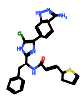 Nc1n[nH]c2cc(-c3nc([C@H](Cc4ccccc4)NC(=O)/C=C/C4CC=CS4)[nH]c3Cl)ccc12